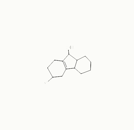 OC1C2=C(CC(Br)CC2)C2CCCCC12